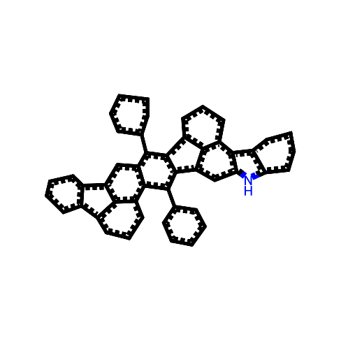 c1ccc(-c2c3cc4c5ccccc5c5cccc(c3c(-c3ccccc3)c3c6cc7[nH]c8ccccc8c7c7cccc(c23)c67)c54)cc1